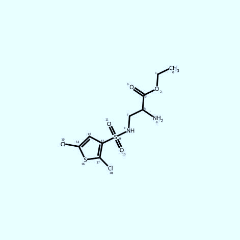 CCOC(=O)C(N)CNS(=O)(=O)c1cc(Cl)sc1Cl